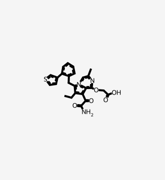 CCc1c(C(=O)C(N)=O)c2c(OCC(=O)O)nc(C)cn2c1Cc1ccccc1-c1ccsc1